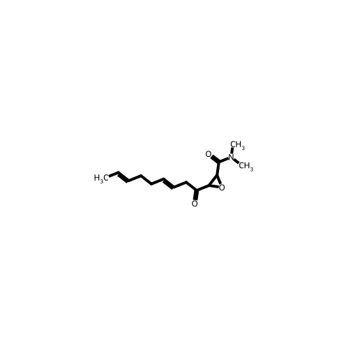 C/C=C/CC/C=C/CC(=O)C1OC1C(=O)N(C)C